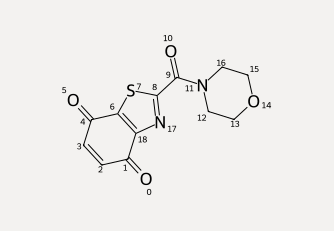 O=C1C=CC(=O)c2sc(C(=O)N3CCOCC3)nc21